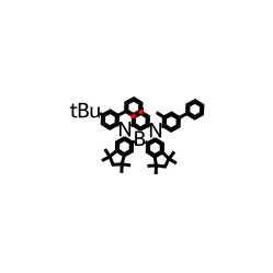 Cc1cc2c3c(c1)N(c1ccc(C(C)(C)C)cc1-c1ccccc1)c1cc4c(cc1B3c1cc3c(cc1N2c1ccc(-c2ccccc2)cc1C)C(C)(C)CC3(C)C)C(C)(C)CC4(C)C